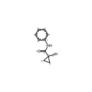 CC(C)C1(C(=O)Nc2ccccc2)CC1